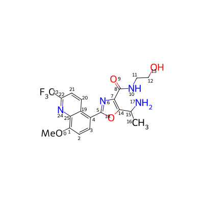 COc1ccc(-c2nc(C(=O)NCCO)c(C(C)N)o2)c2ccc(C(F)(F)F)nc12